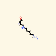 NCCCCCNC/C=C\C=O